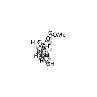 COC(=O)COC(=O)CC[C@@H](C)[C@H]1CC[C@H]2[C@@H]3CC[C@@H]4C[C@H](O)CC[C@]4(C)[C@H]3CC[C@]12C